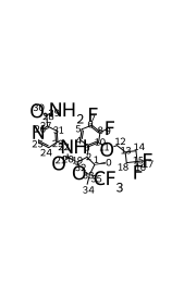 C[C@@H]1[C@H](c2ccc(F)c(F)c2OCC2CC(F)(F)C2)[C@H](C(=O)Nc2ccnc(C(N)=O)c2)O[C@@]1(C)C(F)(F)F